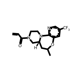 C=CC(=O)N1CCN2c3ncc(C(F)(F)F)cc3OC(C)C[C@@H]2C1